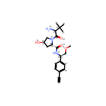 C#Cc1ccc([C@H](COC)NC(=O)[C@@H]2C[C@@H](O)CN2C(=O)C(N)C(C)(C)C)cc1